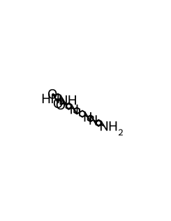 Nc1ccc(N2CCN(C3CCC4(CC3)CCN(c3ccc(C(=O)NC5CCC(=O)NC5=O)cc3)CC4)CC2)cc1